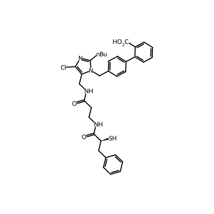 CCCCc1nc(Cl)c(CNC(=O)CCNC(=O)[C@@H](S)Cc2ccccc2)n1Cc1ccc(-c2ccccc2C(=O)O)cc1